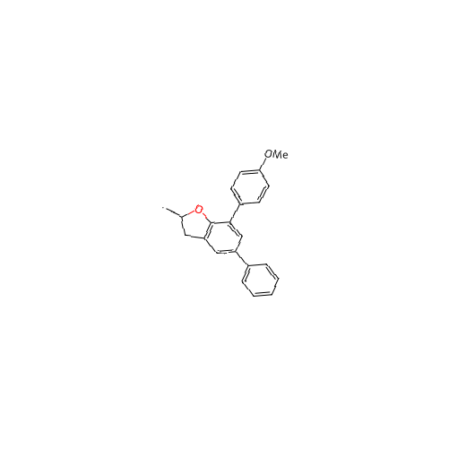 [CH2]C1Cc2cc(-c3ccccc3)cc(-c3ccc(OC)cc3)c2O1